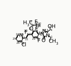 CCn1c(CO)nn(-c2cc(O[C@@H](C)C(F)(F)F)c(/C(F)=C/c3ncccc3Cl)cc2F)c1=O